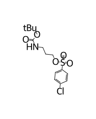 CC(C)(C)OC(=O)NCCCOS(=O)(=O)c1ccc(Cl)cc1